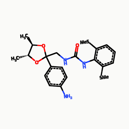 CSc1cccc(SC)c1NC(=O)NCC1(c2ccc(N)cc2)O[C@H](C)[C@@H](C)O1